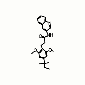 CCC(C)(C)c1cc(OC)c(CCC(=O)Nc2cnc3ccccc3c2)c(OC)c1